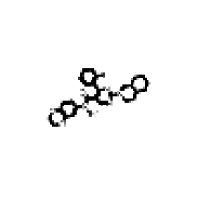 CC(C)N(C(=O)c1cnc(N2CCC3CCCCC3C2)nc1C1=C(F)CCC=C1)c1ccc2c(c1)OCCO2